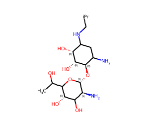 CC(C)CNC1CC(N)[C@@H](O[C@H]2OC(C(C)O)[C@@H](O)C(O)[C@@H]2N)[C@H](O)[C@@H]1O